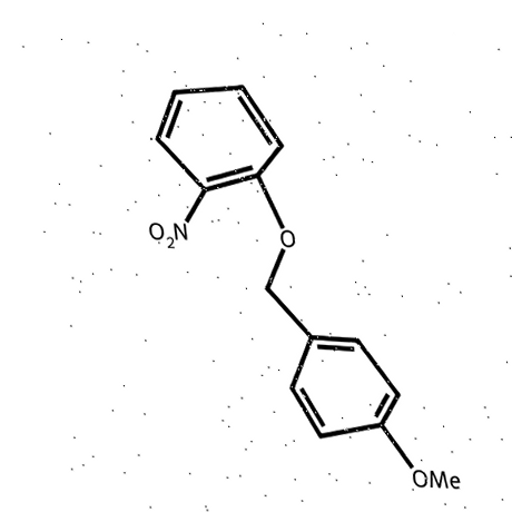 COc1ccc(COc2ccc[c]c2[N+](=O)[O-])cc1